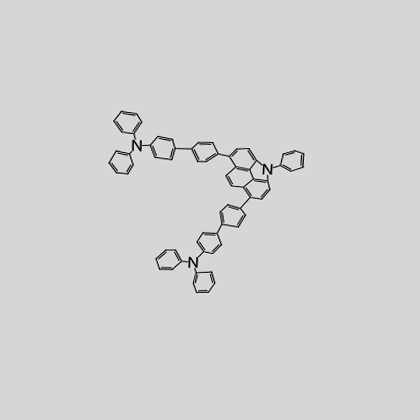 c1ccc(N(c2ccccc2)c2ccc(-c3ccc(-c4ccc5c6c4ccc4c(-c7ccc(-c8ccc(N(c9ccccc9)c9ccccc9)cc8)cc7)ccc(c46)n5-c4ccccc4)cc3)cc2)cc1